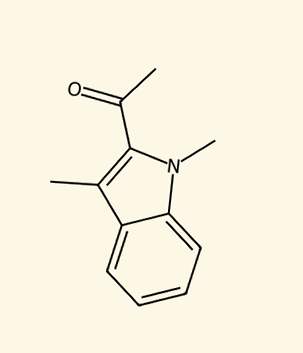 CC(=O)c1c(C)c2ccccc2n1C